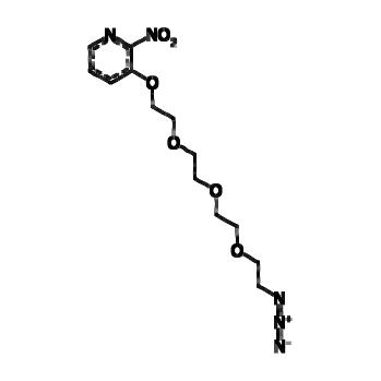 [N-]=[N+]=NCCOCCOCCOCCOc1cccnc1[N+](=O)[O-]